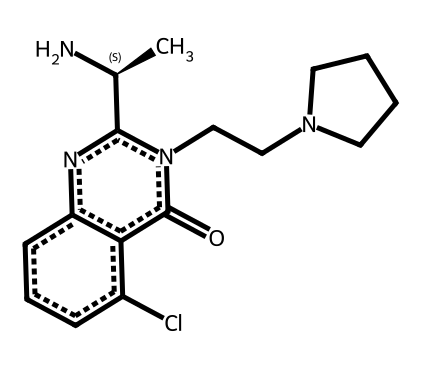 C[C@H](N)c1nc2cccc(Cl)c2c(=O)n1CCN1CCCC1